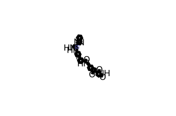 N=C/C(=C\NC1CCN(c2cccc(C(=O)NCc3ccc4c(c3)CN(C3CCC(=O)NC3=O)C4=O)c2)CC1)c1cnc2ccccc2n1